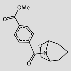 COC(=O)c1ccc(C(=O)N2C3CCCC2OC3)cc1